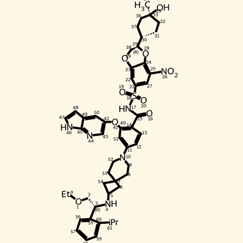 CCOC[C@H](NC1CC2(CCN(c3ccc(C(=O)NS(=O)(=O)c4cc5c(c([N+](=O)[O-])c4)O[C@H]([C@H]4CC[C@](C)(O)CC4)CO5)c(Oc4cnc5[nH]ccc5c4)c3)CC2)C1)c1ccccc1C(C)C